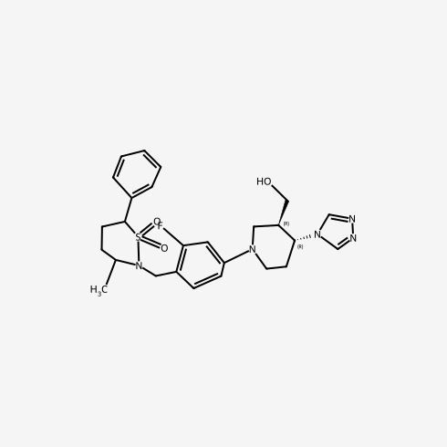 CC1CCC(c2ccccc2)S(=O)(=O)N1Cc1ccc(N2CC[C@@H](n3cnnc3)[C@H](CO)C2)cc1F